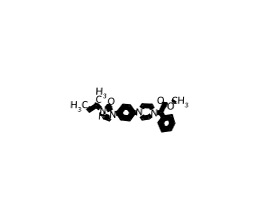 CCC(C)n1ncn(-c2ccc(N3CCN(C(C(=O)OC)c4ccccc4)CC3)cc2)c1=O